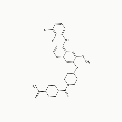 COc1cc2c(Nc3cccc(Cl)c3F)ncnc2cc1OC1CCN(C(=O)C2CCN(C(C)=O)CC2)CC1